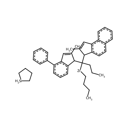 C1CC[SiH2]C1.CCC[CH2][Zr][C](CCC)(C1C(C)=Cc2c(-c3ccccc3)cccc21)C1C(C)=Cc2c1ccc1ccccc21